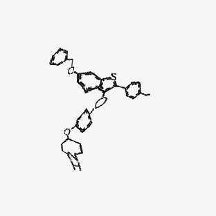 Cc1ccc(-c2sc3cc(OCc4ccccc4)ccc3c2Oc2ccc(OC3CCNCC3)cc2)cc1